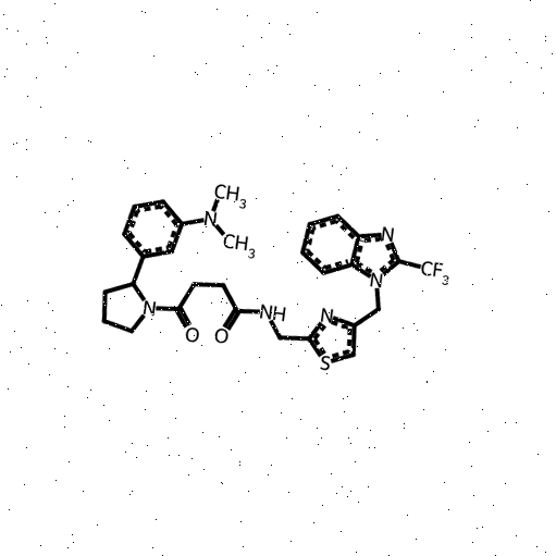 CN(C)c1cccc(C2CCCN2C(=O)CCC(=O)NCc2nc(Cn3c(C(F)(F)F)nc4ccccc43)cs2)c1